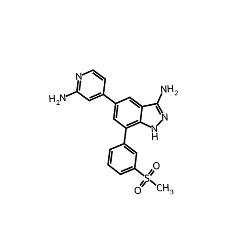 CS(=O)(=O)c1cccc(-c2cc(-c3ccnc(N)c3)cc3c(N)n[nH]c23)c1